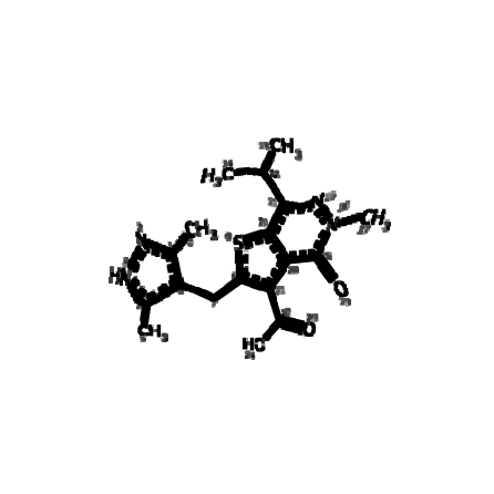 Cc1n[nH]c(C)c1Cc1sc2c(C(C)C)nn(C)c(=O)c2c1C(=O)O